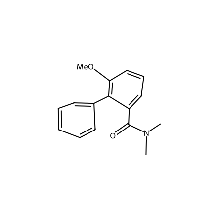 COc1cccc(C(=O)N(C)C)c1-c1ccccc1